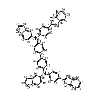 c1cnc2oc(-c3ccc(N(c4ccc(-c5ccc(N(c6ccc(-c7nc8cccnc8o7)cc6)c6ccc7sccc7c6)cc5)cc4)c4ccc5sccc5c4)cc3)nc2c1